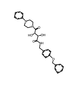 O=C(NCc1ccc(OCc2ccccc2)cc1)[C@H](O)[C@@H](O)C(=O)N1CCN(c2ccccc2)CC1